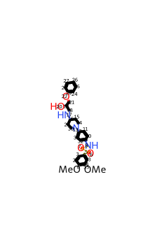 COc1ccc(S(=O)(=O)Nc2ccc(N3CCC(NC[C@H](O)COc4ccccc4)CC3)cc2)cc1OC